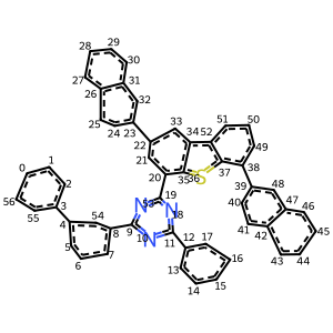 c1ccc(-c2cccc(-c3nc(-c4ccccc4)nc(-c4cc(-c5ccc6ccccc6c5)cc5c4sc4c(-c6ccc7ccccc7c6)cccc45)n3)c2)cc1